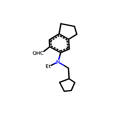 CCN(CC1CCCC1)c1cc2c(cc1C=O)CCC2